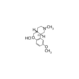 COc1ccc2c(c1)[C@H]1CN(C)CC[C@H]1CO2.Cl